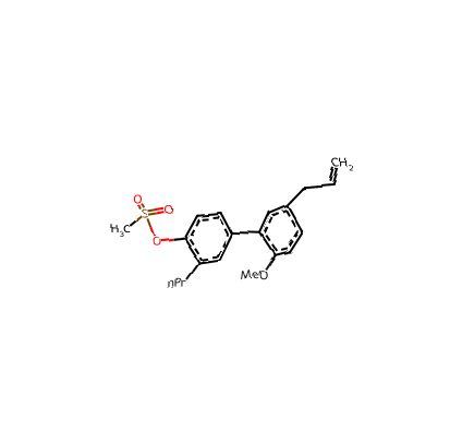 C=CCc1ccc(OC)c(-c2ccc(OS(C)(=O)=O)c(CCC)c2)c1